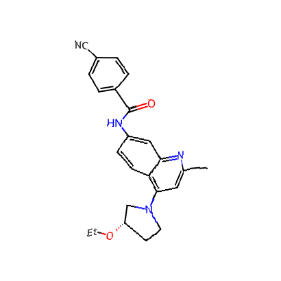 CCO[C@H]1CCN(c2cc(C)nc3cc(NC(=O)c4ccc(C#N)cc4)ccc23)C1